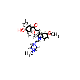 COc1ccc2c(c1)c(/C=C1\Oc3cc(O)c(C)cc3C1=O)c(C)n2CCN1CCN(C)CC1